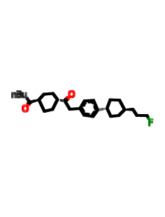 CCCCC(=O)[C@H]1CC[C@H](C(=O)Cc2ccc([C@H]3CC[C@H](CCCF)CC3)cc2)CC1